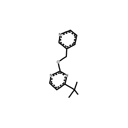 CC(C)(C)c1ccnc(OCc2cccnc2)n1